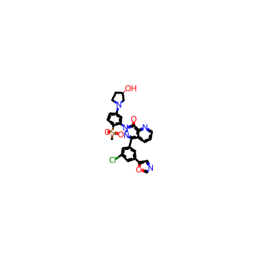 CS(=O)(=O)c1ccc(N2CC[C@H](O)C2)cc1-n1nc(-c2cc(Cl)cc(-c3cnco3)c2)c2cccnc2c1=O